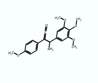 COc1ccc(C(=C=O)C(N)c2cc(OC)c(OC)c(OC)c2)cc1